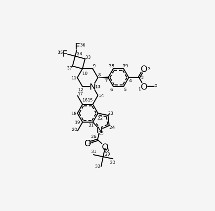 COC(=O)c1ccc([C@@H]2CC3(CCN2Cc2c(C)cc(C)c4c2ccn4C(=O)OC(C)(C)C)CC(F)(F)C3)cc1